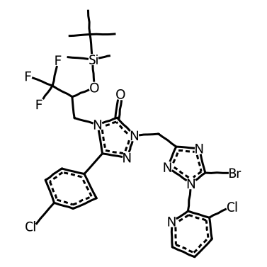 CC(C)(C)[Si](C)(C)OC(Cn1c(-c2ccc(Cl)cc2)nn(Cc2nc(Br)n(-c3ncccc3Cl)n2)c1=O)C(F)(F)F